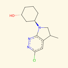 CC1CN([C@@H]2CCC[C@@H](O)C2)c2nnc(Cl)cc21